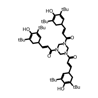 CC(C)(C)C1=CC(C=CC(=O)N2CN(C(=O)C=CC3C=C(C(C)(C)C)C(O)=C(C(C)(C)C)C3)CN(C(=O)C=CC3C=C(C(C)(C)C)C(O)=C(C(C)(C)C)C3)C2)CC(C(C)(C)C)=C1O